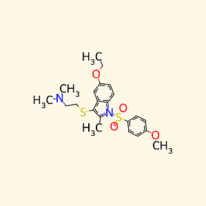 CCOc1ccc2c(c1)c(SCCN(C)C)c(C)n2S(=O)(=O)c1ccc(OC)cc1